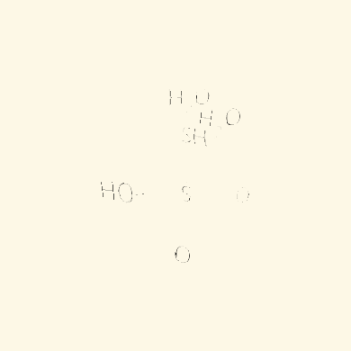 O.O.O=S(=O)(O)S